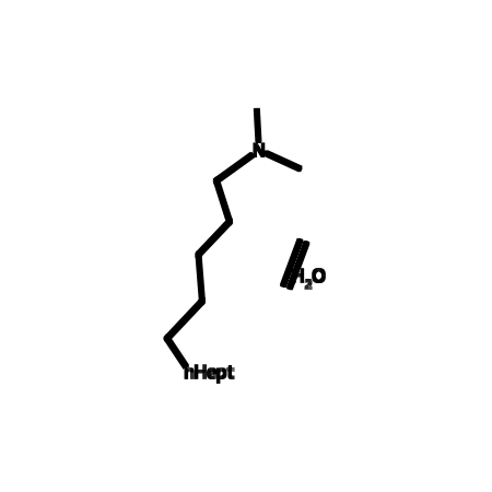 C=C.CCCCCCCCCCCCN(C)C.O